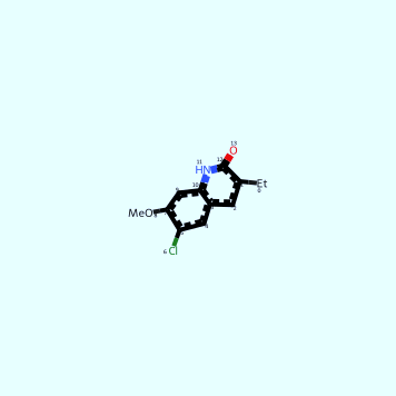 CCc1cc2cc(Cl)c(OC)cc2[nH]c1=O